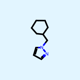 c1cnn(CC2CCCCC2)c1